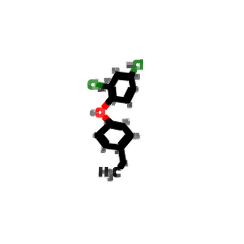 CCc1ccc(Oc2ccc(Cl)cc2Cl)cc1